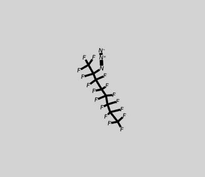 [N-]=[N+]=NC(F)(C(F)(F)F)C(F)(F)C(F)(F)C(F)(F)C(F)(F)C(F)(F)C(F)(F)F